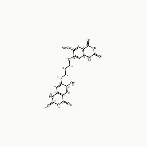 COc1cc2c(=O)oc(=O)[nH]c2cc1OCCCOc1cc2[nH]c(=O)oc(=O)c2cc1O